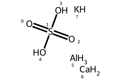 O=S(=O)(O)O.[AlH3].[CaH2].[KH]